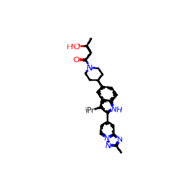 Cc1nc2cc(-c3[nH]c4ccc(C5CCN(C(=O)CC(C)O)CC5)cc4c3C(C)C)ccn2n1